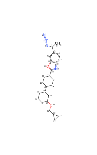 CC(N=[N+]=[N-])c1ccc2nc(C3CCC(C4CCCC(OCC5CC5)C4)CC3)oc2c1